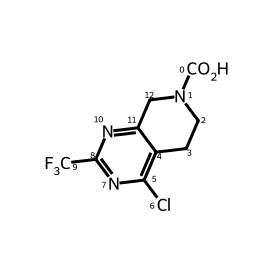 O=C(O)N1CCc2c(Cl)nc(C(F)(F)F)nc2C1